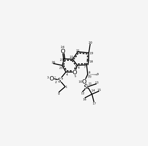 CC[S+]([O-])c1oc2c([C@H](C)O[Si](C)(C)C(C)(C)C)cc(C)cc2c(=O)c1C